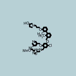 COCc1noc(CNCc2cc(Cl)c(OCc3cccc(-c4cccc(OCCCN5CC[C@@H](O)C5)c4C)c3C)cc2OCc2cncc(C#N)c2)n1